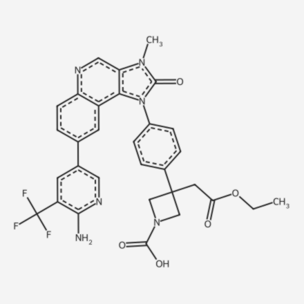 CCOC(=O)CC1(c2ccc(-n3c(=O)n(C)c4cnc5ccc(-c6cnc(N)c(C(F)(F)F)c6)cc5c43)cc2)CN(C(=O)O)C1